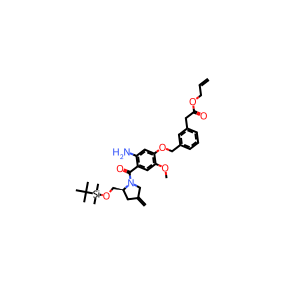 C=CCOC(=O)Cc1cccc(COc2cc(N)c(C(=O)N3CC(=C)C[C@H]3CO[Si](C)(C)C(C)(C)C)cc2OC)c1